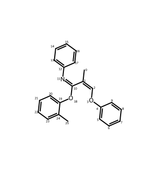 CC(=COc1ccccc1)C(=Nc1ccccc1)Oc1ccccc1C